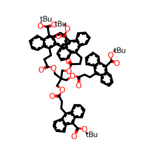 CC(C)(C)OC(=O)c1c2ccccc2c(CCC(=O)OCC(COC(=O)CCc2c3ccccc3c(C(=O)OC(C)(C)C)c3ccccc23)(COC(=O)CCc2c3ccccc3c(C(=O)OC(C)(C)C)c3ccccc23)COC(=O)CCc2c3ccccc3c(C(=O)OC(C)(C)C)c3ccccc23)c2ccccc12